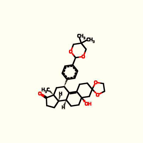 CC1(C)COC(c2ccc([C@H]3C[C@]4(C)C(=O)CC[C@@H]4[C@@H]4CC[C@@]5(O)CC6(CCC5=C43)OCCO6)cc2)OC1